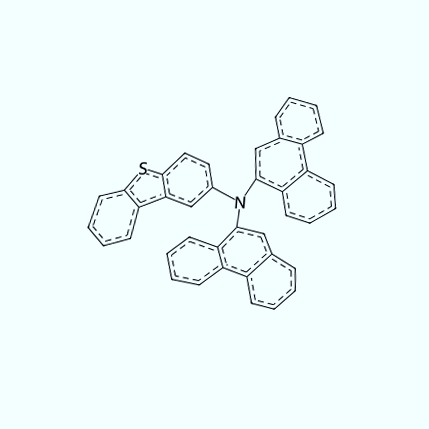 c1ccc2c(c1)cc(N(c1ccc3sc4ccccc4c3c1)c1cc3ccccc3c3ccccc13)c1ccccc12